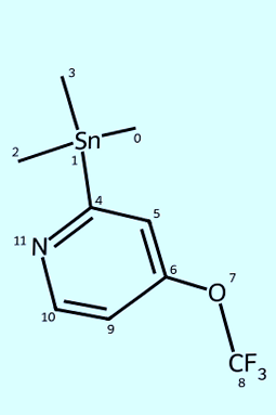 [CH3][Sn]([CH3])([CH3])[c]1cc(OC(F)(F)F)ccn1